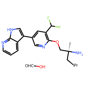 CC(C)C[C@](C)(N)COc1ncc(-c2c[nH]c3ncccc23)cc1C(F)F.O=CO